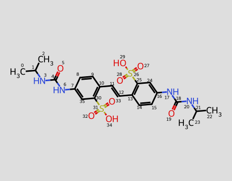 CC(C)NC(=O)Nc1ccc(/C=C/c2ccc(NC(=O)NC(C)C)cc2S(=O)(=O)O)c(S(=O)(=O)O)c1